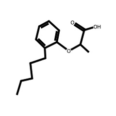 CCCCCc1ccccc1OC(C)C(=O)O